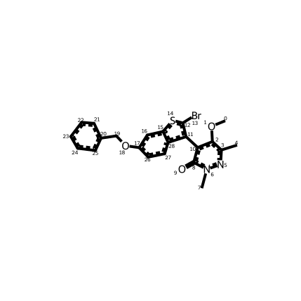 COc1c(C)nn(C)c(=O)c1-c1c(Br)sc2cc(OCc3ccccc3)ccc12